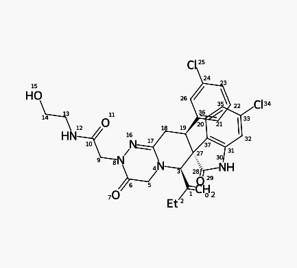 C=C(CC)[C@H]1N2CC(=O)N(CC(=O)NCCO)N=C2C[C@@H](c2cccc(Cl)c2)[C@]12C(=O)Nc1cc(Cl)ccc12